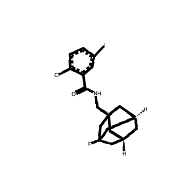 O=C(NCC12C[C@@H]3C[C@@H](CC(F)(C3)C1)C2)c1cc(I)ccc1Cl